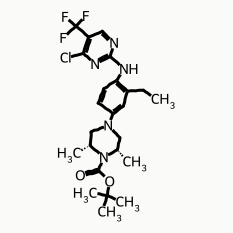 CCc1cc(N2C[C@@H](C)N(C(=O)OC(C)(C)C)[C@@H](C)C2)ccc1Nc1ncc(C(F)(F)F)c(Cl)n1